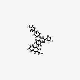 C=CC(=O)N1CCN(c2nc(N3CCCC3)nc3c2CCN(c2cc(O)cc4ccccc24)C3)CC1